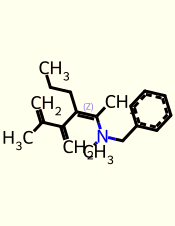 C=C(C)C(=C)/C(CCC)=C(/C)N(C)Cc1ccccc1